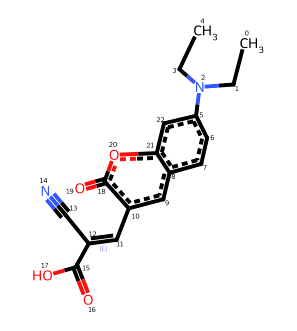 CCN(CC)c1ccc2cc(/C=C(\C#N)C(=O)O)c(=O)oc2c1